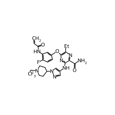 C=CC(=O)Nc1cc(Oc2nc(Nc3cnn(C4CCN(CC(F)(F)F)CC4)c3)c(C(N)=O)nc2CC)ccc1F